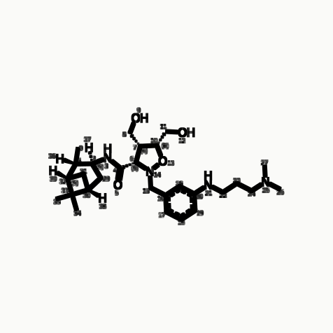 C[C@@H]1[C@@H](NC(=O)[C@@H]2[C@H](CO)[C@H](CO)ON2Cc2cccc(NCCCN(C)C)c2)C[C@H]2C[C@@H]1C2(C)C